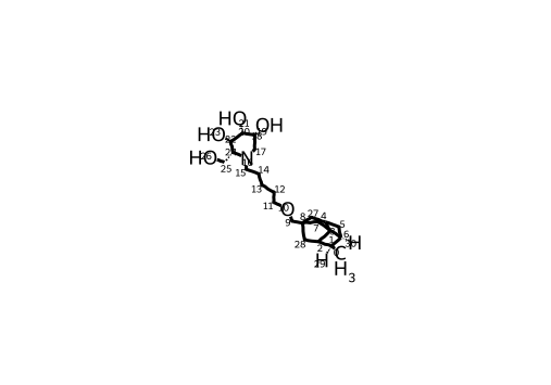 C[C@H]1C2CC3C[C@@H]1CC(COCCCCCN1C[C@H](O)[C@@H](O)[C@H](O)[C@H]1CO)(C3)C2